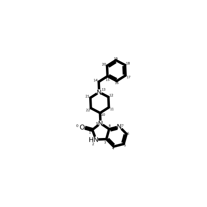 O=c1[nH]c2cccnc2n1C1CCN(Cc2ccccc2)CC1